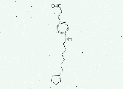 O=CCCc1ccc(NCCCCCCC2CCCC2)cc1